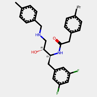 Cc1ccc(CNC[C@@H](O)[C@H](Cc2cc(F)cc(F)c2)NC(=O)Cc2ccc(C(C)C)cc2)cc1